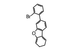 Brc1ccccc1-c1ccc2c3c(oc2c1)=CCCC=3